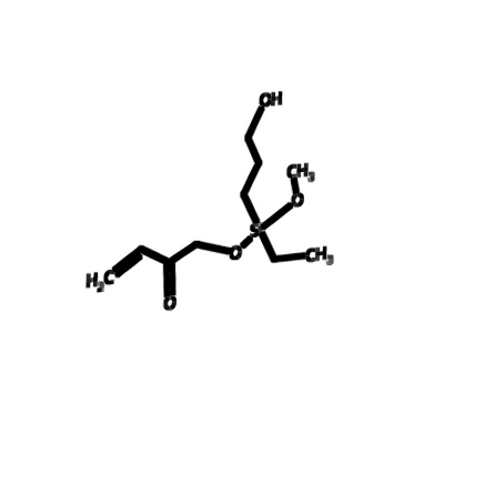 C=CC(=O)CO[Si](CC)(CCCO)OC